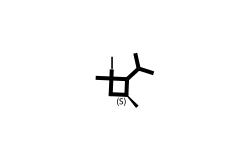 CC(C)C1[C@@H](C)CC1(C)I